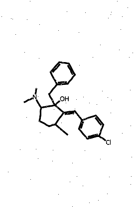 CC1CCC(N(C)C)C(O)(Cc2ccccc2)C1=Cc1ccc(Cl)cc1